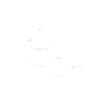 COC(=O)c1csc2ccc(OC)cc2c1=O